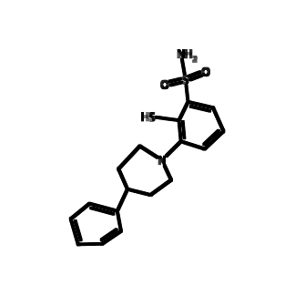 NS(=O)(=O)c1cccc(N2CCC(c3ccccc3)CC2)c1S